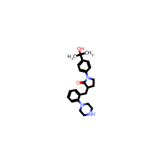 CC(C)(O)c1ccc(N2CCC(Cc3ccccc3N3CCNCC3)C2=O)cc1